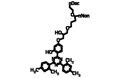 CCCCCCCCCCCCOC(CCCCCCCCC)CCCOCC(O)COc1ccc(-c2nc(-c3ccc(C)cc3C)nc(-c3ccc(C)cc3C)n2)c(O)c1